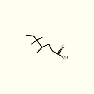 C[CH]C(C)(C)C(C)CCC(=O)O